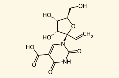 C=C[C@@]1(n2cc(C(=O)O)c(=O)[nH]c2=O)O[C@H](CO)[C@@H](O)[C@H]1O